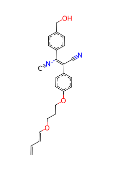 [C-]#[N+]/C(=C(/C#N)c1ccc(OCCCOC=CC=C)cc1)c1ccc(CO)cc1